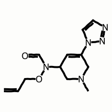 C=CCON(C=O)C1C=C(n2ccnn2)CN(C)C1